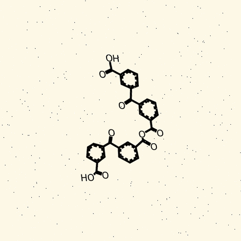 O=C(O)c1cccc(C(=O)c2cccc(C(=O)OC(=O)c3cccc(C(=O)c4cccc(C(=O)O)c4)c3)c2)c1